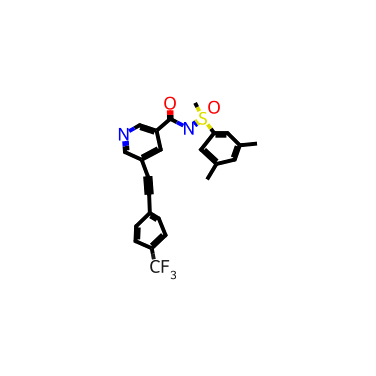 Cc1cc(C)cc(S(C)(=O)=NC(=O)c2cncc(C#Cc3ccc(C(F)(F)F)cc3)c2)c1